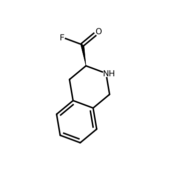 O=C(F)[C@@H]1Cc2ccccc2CN1